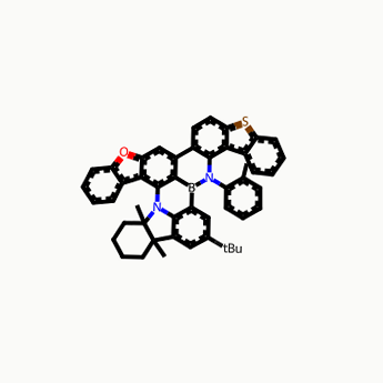 Cc1ccccc1N1B2c3cc(C(C)(C)C)cc4c3N(c3c2c(cc2oc5ccccc5c32)-c2ccc3sc5ccccc5c3c21)C1(C)CCCCC41C